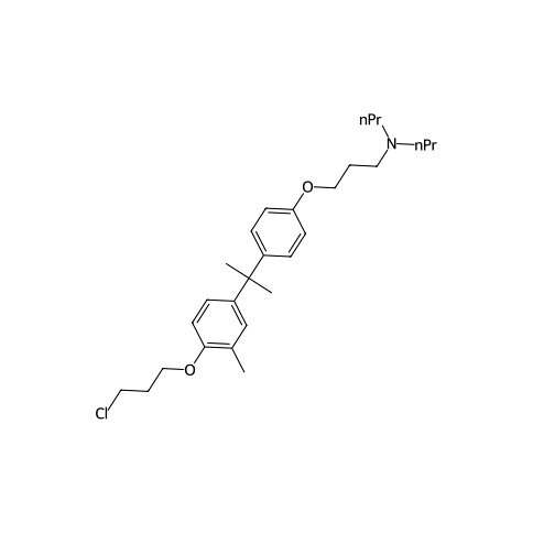 CCCN(CCC)CCCOc1ccc(C(C)(C)c2ccc(OCCCCl)c(C)c2)cc1